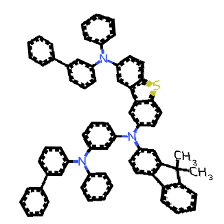 CC1(C)c2ccccc2-c2ccc(N(c3cccc(N(c4ccccc4)c4cccc(-c5ccccc5)c4)c3)c3ccc4sc5ccc(N(c6ccccc6)c6cccc(-c7ccccc7)c6)cc5c4c3)cc21